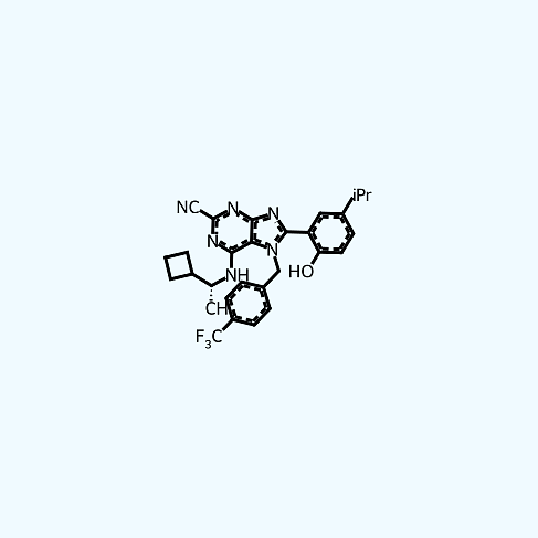 CC(C)c1ccc(O)c(-c2nc3nc(C#N)nc(N[C@H](C)C4CCC4)c3n2Cc2ccc(C(F)(F)F)cc2)c1